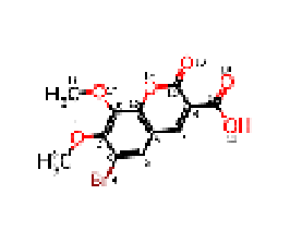 COc1c(Br)cc2cc(C(=O)O)c(=O)oc2c1OC